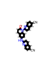 N#Cc1ccc2nc(Nc3ccc4c(c3)CCC(=O)N4c3ccc4cc(C#N)ccc4n3)ccc2c1